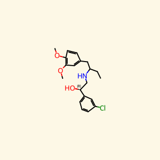 CCC(Cc1ccc(OC)c(OC)c1)NC[C@H](O)c1cccc(Cl)c1